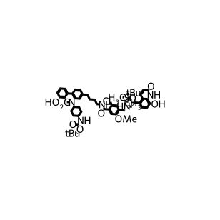 COc1cc(C(=O)NCCCCc2ccc(-c3ccccc3)c(N(C(=O)O)C3CCC(NC(=O)OC(C)(C)C)CC3)c2)c(Cl)cc1CNC[C@H](O[Si](C)(C)C(C)(C)C)c1ccc(O)c2[nH]c(=O)ccc12